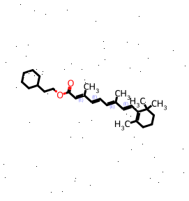 CC1=C(/C=C/C(C)=C/C=C/C(C)=C/C(=O)OCCC2CCCCC2)C(C)(C)CCC1